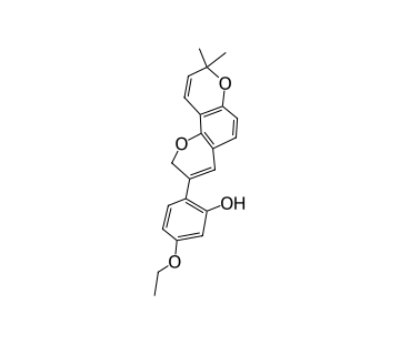 CCOc1ccc(C2=Cc3ccc4c(c3OC2)C=CC(C)(C)O4)c(O)c1